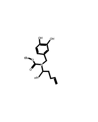 C=CCCC(CCC)N(Cc1ccc(O)c(O)c1)C(=O)OC(C)(C)C